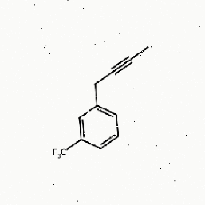 [CH2]C#CCc1cccc(C(F)(F)F)c1